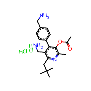 CC(=O)Oc1c(C)nc(CC(C)(C)C)c(CN)c1-c1ccc(CN)cc1.Cl.Cl